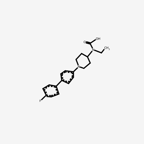 CCN(C(=O)O)C1CCN(c2ccc(-c3ccc(F)cc3)cc2)CC1